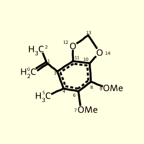 C=C(C)c1c(C)c(OC)c(OC)c2c1OCO2